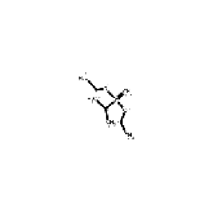 C=P(OCC)(OCC)C(C)C